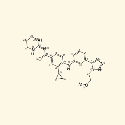 COCCn1nnnc1-c1cccc(Nc2ccc(C(=O)N=C3NCCCN3)cc2C2CC2)c1